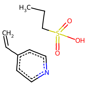 C=Cc1ccncc1.CCCS(=O)(=O)O